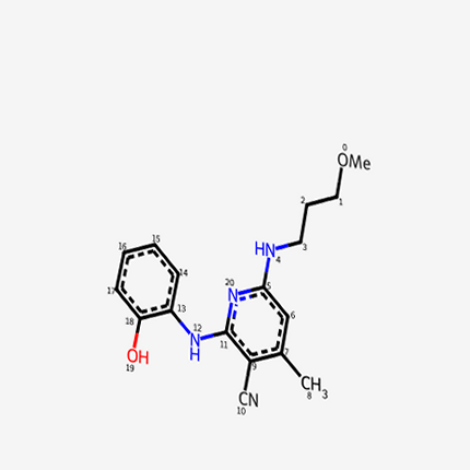 COCCCNc1cc(C)c(C#N)c(Nc2ccccc2O)n1